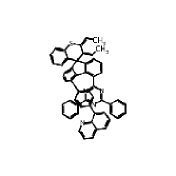 C/C=C1\C(=C/C)Sc2ccccc2C12c1cccc(-c3ccc(-c4cccc5cccnc45)cc3)c1-c1c(-c3nc(-c4ccccc4)nc(-c4ccccc4)n3)cccc12